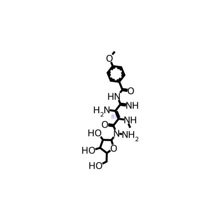 CN/C(C(=O)N(N)C1OC(CO)C(O)C1O)=C(/N)C(=N)NC(=O)c1ccc(OC)cc1